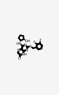 O=c1cnc2c(N[C@@H]3CCC[C@H]3O)nc(SCc3cccc(F)c3F)nc2[nH]1